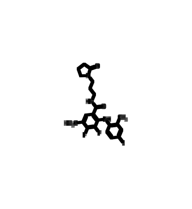 Cc1cc(I)ccc1Nc1c(C(=O)NCCCN2CCCC2=O)cc(C(=O)O)c(F)c1F